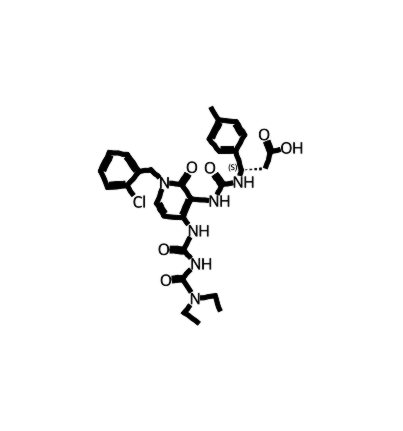 CCN(CC)C(=O)NC(=O)Nc1ccn(Cc2ccccc2Cl)c(=O)c1NC(=O)N[C@@H](CC(=O)O)c1ccc(C)cc1